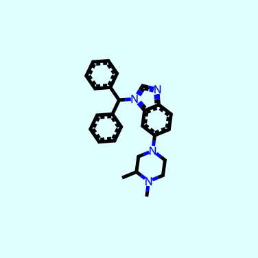 CC1CN(c2ccc3ncn(C(c4ccccc4)c4ccccc4)c3c2)CCN1C